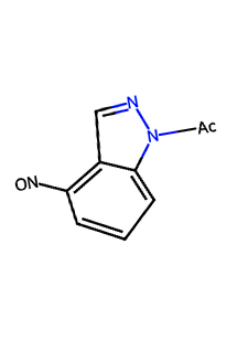 CC(=O)n1ncc2c(N=O)cccc21